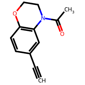 C#Cc1ccc2c(c1)N(C(C)=O)CCO2